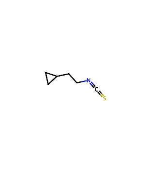 S=C=NCCC1CC1